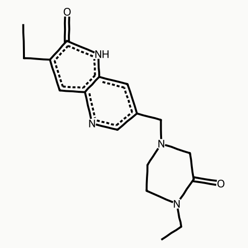 CCc1cc2ncc(CN3CCN(CC)C(=O)C3)cc2[nH]c1=O